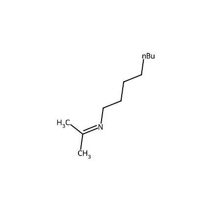 CCCCCCCCN=C(C)C